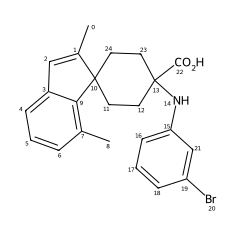 CC1=Cc2cccc(C)c2C12CCC(Nc1cccc(Br)c1)(C(=O)O)CC2